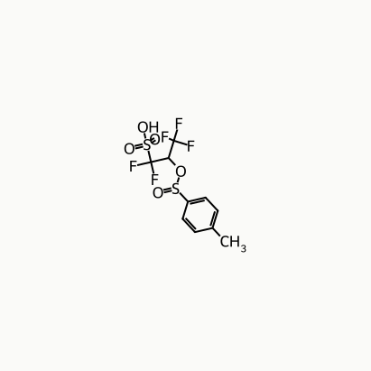 Cc1ccc(S(=O)OC(C(F)(F)F)C(F)(F)S(=O)(=O)O)cc1